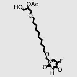 CC(=O)OC(CO)COCCCCCCCCCCOCn1cc(F)c(=O)[nH]c1=O